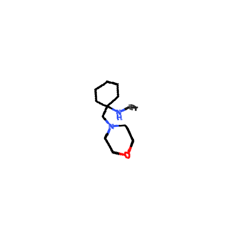 CC(C)NC1(CN2CCOCC2)CCCCC1